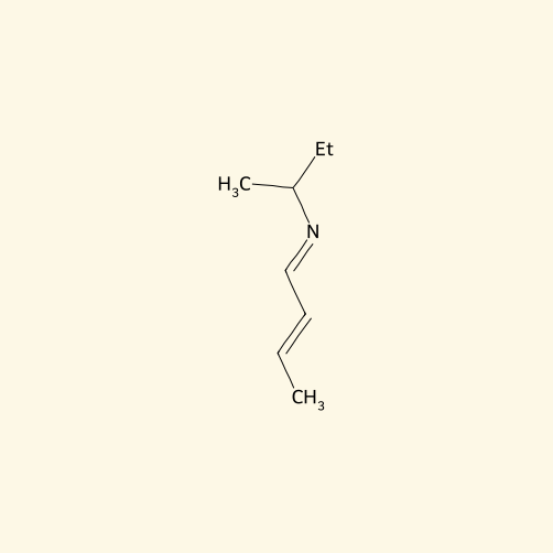 C/C=C/C=NC(C)CC